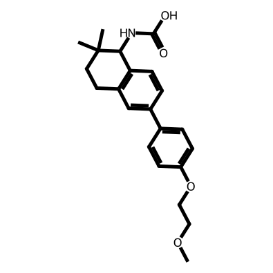 COCCOc1ccc(-c2ccc3c(c2)CCC(C)(C)C3NC(=O)O)cc1